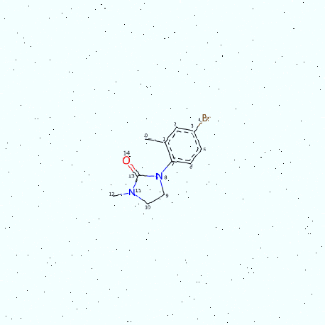 Cc1cc(Br)ccc1N1CCN(C)C1=O